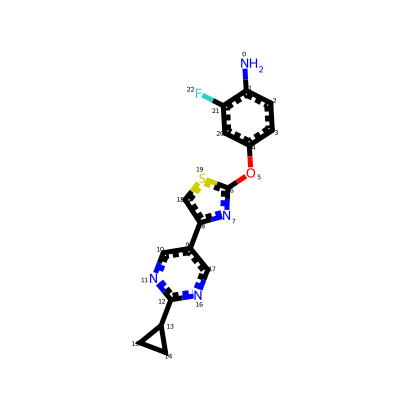 Nc1ccc(Oc2nc(-c3cnc(C4CC4)nc3)cs2)cc1F